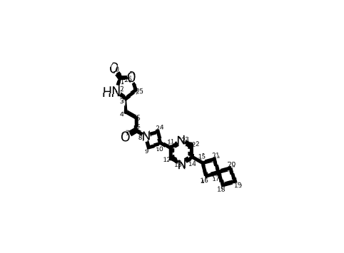 O=C1N[C@H](CCC(=O)N2CC(c3cnc(C4CC5(CCC5)C4)cn3)C2)CO1